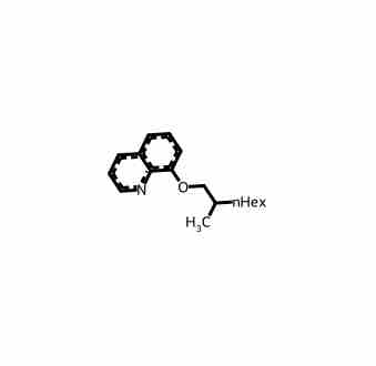 CCCCCCC(C)COc1cccc2cccnc12